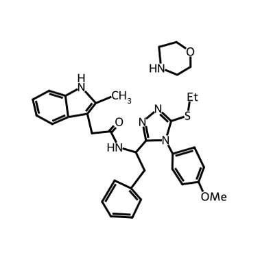 C1COCCN1.CCSc1nnc(C(Cc2ccccc2)NC(=O)Cc2c(C)[nH]c3ccccc23)n1-c1ccc(OC)cc1